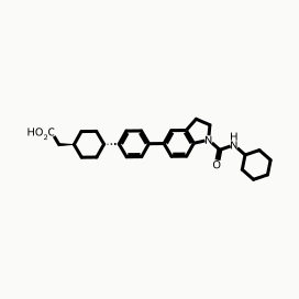 O=C(O)C[C@H]1CC[C@H](c2ccc(-c3ccc4c(c3)CCN4C(=O)NC3CCCCC3)cc2)CC1